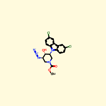 CC(C)(C)OC(=O)N1C[C@@H](N=[N+]=[N-])[C@H](O)[C@@H](n2c3ccc(Cl)cc3c3cc(Cl)ccc32)C1